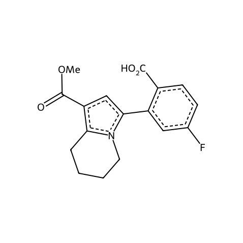 COC(=O)c1cc(-c2cc(F)ccc2C(=O)O)n2c1CCCC2